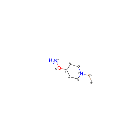 CSN1CCC(ON)CC1